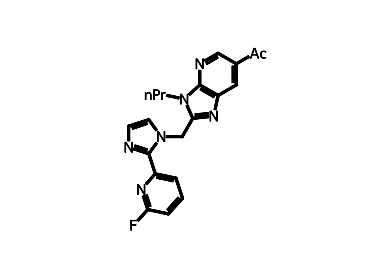 CCCn1c(Cn2ccnc2-c2cccc(F)n2)nc2cc(C(C)=O)cnc21